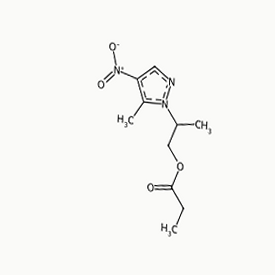 CCC(=O)OCC(C)n1ncc([N+](=O)[O-])c1C